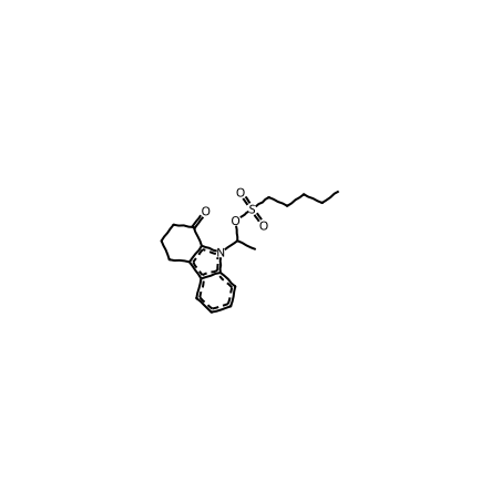 CCCCCS(=O)(=O)OC(C)n1c2c(c3ccccc31)CCCC2=O